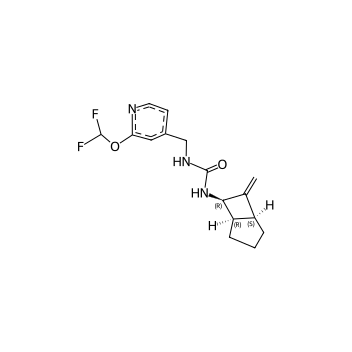 C=C1[C@H]2CCC[C@H]2[C@H]1NC(=O)NCc1ccnc(OC(F)F)c1